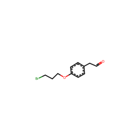 O=CCc1ccc(OCCCBr)cc1